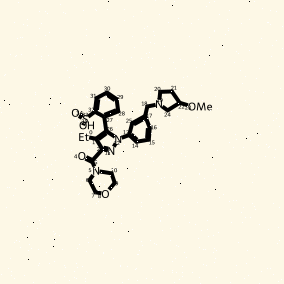 CCc1c(C(=O)N2CCOCC2)nn(-c2cccc(CN3CCC(OC)C3)c2)c1-c1ccccc1S(=O)O